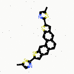 Cc1cnc(-c2cc3cc4ccc5cc6cc(-c7ncc(C)s7)sc6cc5c4cc3s2)s1